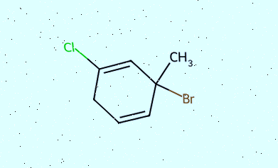 CC1(Br)C=CCC(Cl)=C1